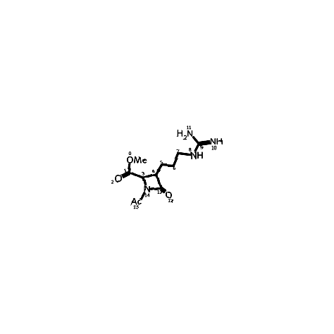 COC(=O)C1C(CCCNC(=N)N)C(=O)N1C(C)=O